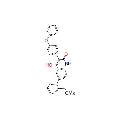 COCc1ccccc1-c1ccc2[nH]c(=O)c(-c3ccc(Oc4ccccc4)cc3)c(O)c2c1